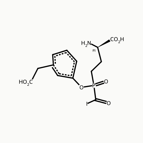 N[C@H](CCP(=O)(Oc1cccc(CC(=O)O)c1)C(=O)I)C(=O)O